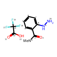 CNC(=O)c1ccccc1NN.O=C(O)C(F)(F)F